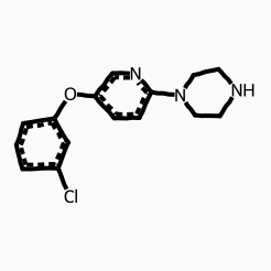 Clc1cccc(Oc2ccc(N3CCNCC3)nc2)c1